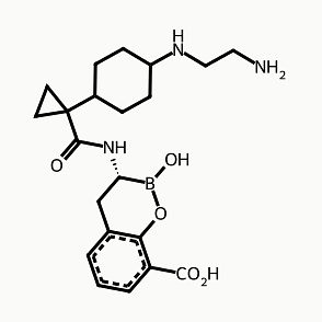 NCCNC1CCC(C2(C(=O)N[C@H]3Cc4cccc(C(=O)O)c4OB3O)CC2)CC1